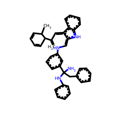 C=C(/C=c1\c(=C/Nc2cccc(C(N)(Cc3ccccc3)Nc3ccccc3)c2)[nH]c2ccccc12)C1C=CC=CC1C